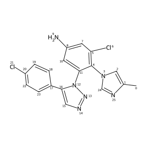 Cc1cn(-c2c(Cl)cc(N)cc2-n2nncc2-c2ccc(Cl)cc2)cn1